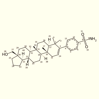 CC1(C)C(c2ccc(S(N)(=O)=O)cc2)=CC[C@]2(C)[C@H]3CC[C@@H]4[C@H]5CCC[C@]5(CO)CC[C@@]4(C)[C@]3(C)CC[C@@H]12